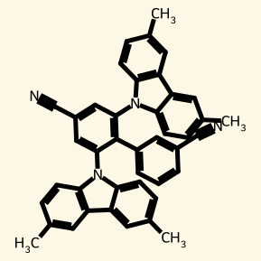 Cc1ccc2c(c1)c1cc(C)ccc1n2-c1cc(C#N)cc(-n2c3ccc(C)cc3c3cc(C)ccc32)c1-c1cccc(C#N)c1